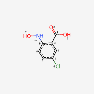 O=C(O)c1cc(Cl)ccc1NO